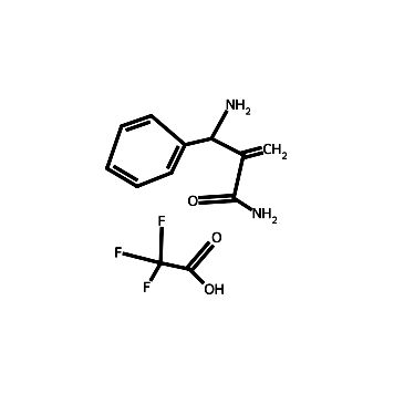 C=C(C(N)=O)C(N)c1ccccc1.O=C(O)C(F)(F)F